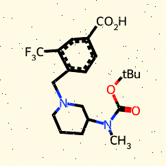 CN(C(=O)OC(C)(C)C)C1CCCN(Cc2ccc(C(=O)O)cc2C(F)(F)F)C1